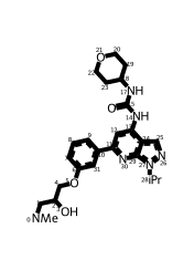 CNCC(O)COc1cccc(-c2cc(NC(=O)NC3CCOCC3)c3cnn(C(C)C)c3n2)c1